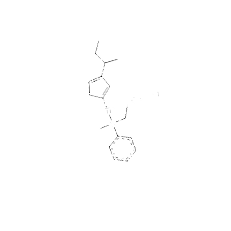 CCC(C)C1=CC[C]([Ti+3][Si](C)(CC)c2ccccc2)=C1.[Cl-].[Cl-].[Cl-]